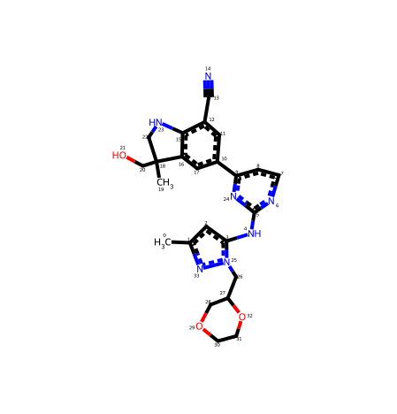 Cc1cc(Nc2nccc(-c3cc(C#N)c4c(c3)C(C)(CO)CN4)n2)n(CC2COCCO2)n1